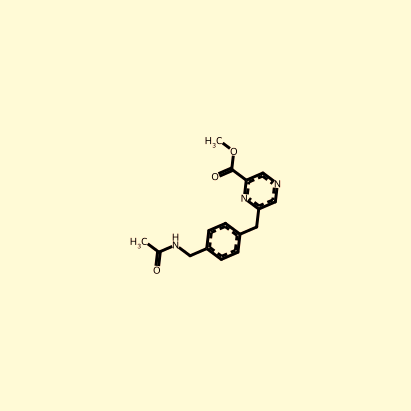 COC(=O)c1cncc(Cc2ccc(CNC(C)=O)cc2)n1